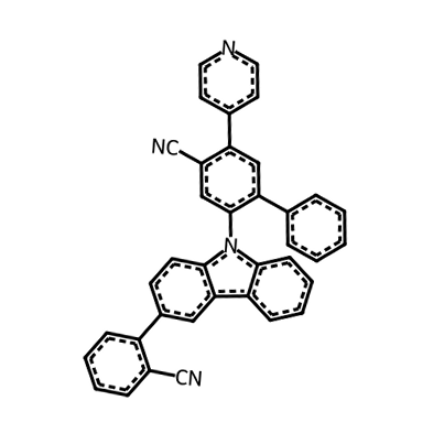 N#Cc1ccccc1-c1ccc2c(c1)c1ccccc1n2-c1cc(C#N)c(-c2ccncc2)cc1-c1ccccc1